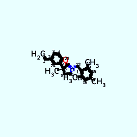 C=Cc1cccc([C@]2(C)CCN(Cc3c(C)cc(C)cc3C)C2=O)c1